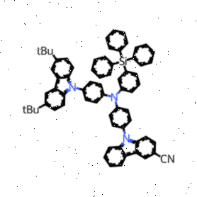 CC(C)(C)c1ccc2c(c1)c1cc(C(C)(C)C)ccc1n2-c1ccc(N(c2ccc(-n3c4ccccc4c4cc(C#N)ccc43)cc2)c2cccc([Si](c3ccccc3)(c3ccccc3)c3ccccc3)c2)cc1